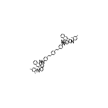 COc1c(CON(C)c2ccc(C)cc2C)cc2ccccc2c1N=Nc1ccc(C=Cc2ccc(C=Cc3ccc(N=Nc4c(OC)c(C(=O)N(C)c5ccc(C)cc5C)cc5ccccc45)cc3)cc2)cc1